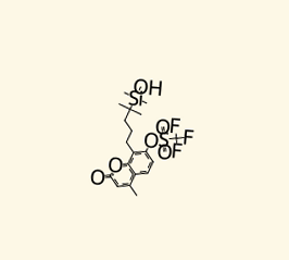 Cc1cc(=O)oc2c(CCCC(C)(C)[Si](C)(C)O)c(OS(=O)(=O)C(F)(F)F)ccc12